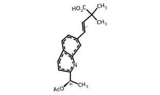 CC(=O)O[C@H](C)c1ccc2ccc(/C=C/C(C)(C)C(=O)O)cc2n1